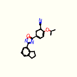 CC(C)OC1=CC=C(c2nc(-c3cccc4c3CCC4)no2)CC1C#N